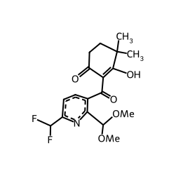 COC(OC)c1nc(C(F)F)ccc1C(=O)C1=C(O)C(C)(C)CCC1=O